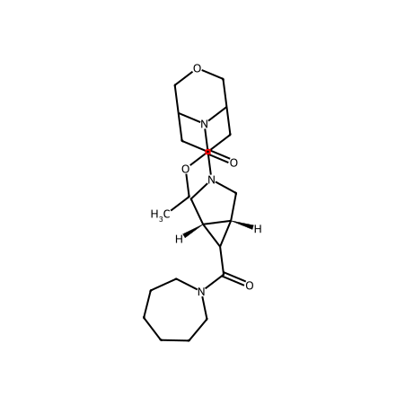 CCOC(=O)N1C2COCC1CC(N1C[C@@H]3C(C(=O)N4CCCCCC4)[C@@H]3C1)C2